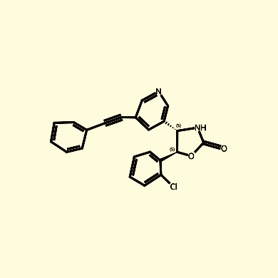 O=C1N[C@@H](c2cncc(C#Cc3ccccc3)c2)[C@H](c2ccccc2Cl)O1